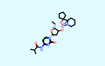 CC[C@H]1O[C@@H](n2ccc(NC(=O)C(C)C)nc2=O)CC1O[P@]1OC2(CCCC2)[C@@H]2CCCCN21